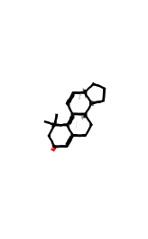 CC1(C)CC(=O)C=C2CC[C@@H]3C(=C21)C=C[C@@H]1CCC[C@H]13